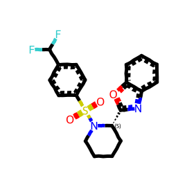 O=S(=O)(c1ccc(C(F)F)cc1)N1CCCC[C@H]1c1nc2ccccc2o1